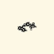 CCOC(=O)C(Cc1ccc(OCC=C2c3ccccc3-c3ccc(C)cc32)cc1)OCC